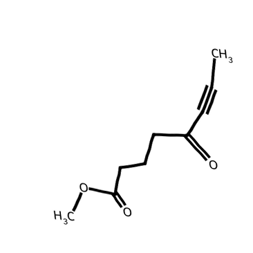 CC#CC(=O)CCCC(=O)OC